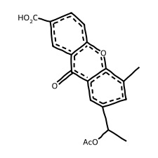 CC(=O)OC(C)c1cc(C)c2oc3ccc(C(=O)O)cc3c(=O)c2c1